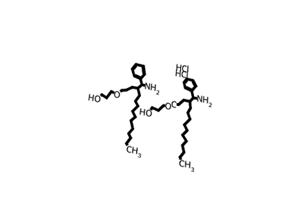 CCCCCCCCCCCC(CCCOCCCO)C(N)c1ccccc1.CCCCCCCCCCCC(CCCOCCCO)C(N)c1ccccc1.Cl.Cl